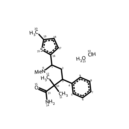 CNC(CC(c1ccccc1)C(C)(C)C(N)=O)c1ccc(C)s1.Cl.O